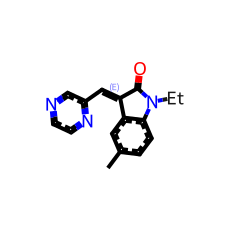 CCN1C(=O)/C(=C/c2cnccn2)c2cc(C)ccc21